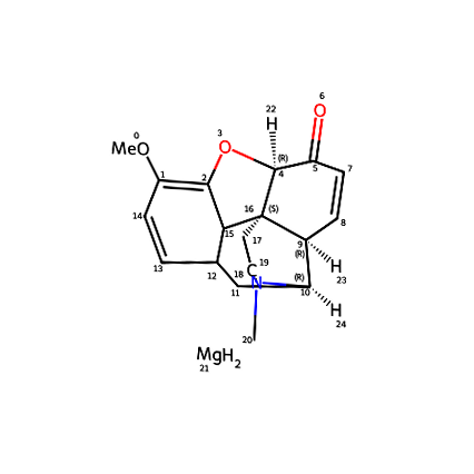 COC1=C2O[C@H]3C(=O)C=C[C@H]4[C@H]5CC(C=C1)C2[C@@]34CCN5C.[MgH2]